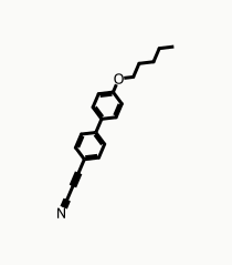 CCCCCOc1ccc(-c2ccc(C#CC#N)cc2)cc1